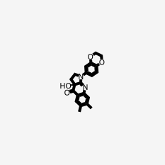 Cc1cc2c(cc1C)C(=O)[C@]1(O)CCN(c3ccc4c(c3)OCCO4)C1=N2